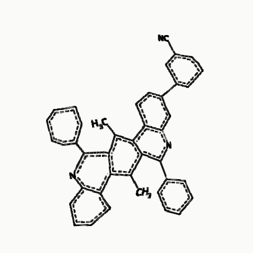 Cc1c2c(-c3ccccc3)nc3cc(-c4cccc(C#N)c4)ccc3c2c(C)c2c(-c3ccccc3)nc3ccccc3c12